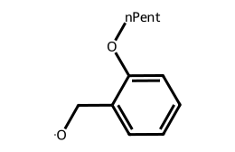 CCCCCOc1ccccc1C[O]